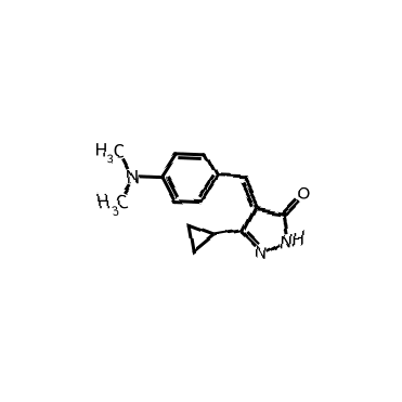 CN(C)c1ccc(/C=C2/C(=O)NN=C2C2CC2)cc1